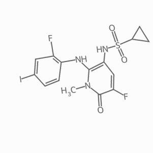 Cn1c(Nc2ccc(I)cc2F)c(NS(=O)(=O)C2CC2)cc(F)c1=O